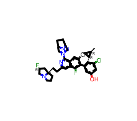 C[C@@H]1C[C@H]1c1c(Cl)cc(O)cc1-c1c(C#N)cc2c(N3CC4CCC(C3)N4)nc(CC[C@@]34CCCN3C[C@H](F)C4)cc2c1F